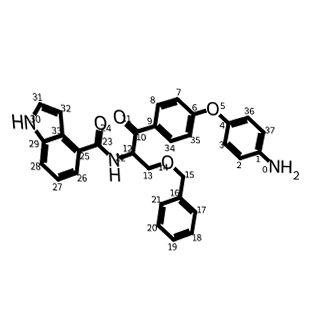 Nc1ccc(Oc2ccc(C(=O)C(COCc3ccccc3)NC(=O)c3cccc4[nH]ccc34)cc2)cc1